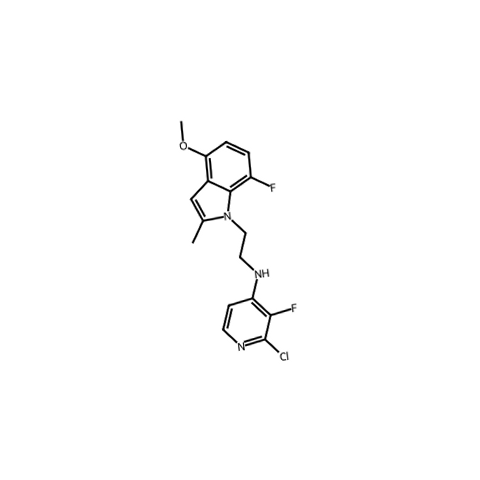 COc1ccc(F)c2c1cc(C)n2CCNc1ccnc(Cl)c1F